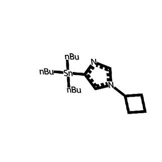 CCC[CH2][Sn]([CH2]CCC)([CH2]CCC)[c]1cn(C2CCC2)cn1